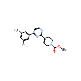 CC(C)(C)OC(=O)N1CC=C(c2nccc(-c3cc(C(F)(F)F)cc(C(F)(F)F)c3)n2)CC1